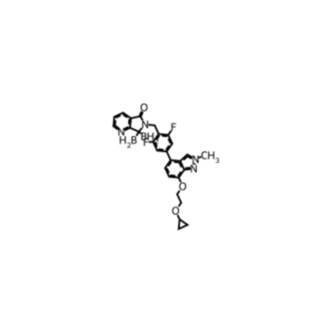 BC1(B)c2ncccc2C(=O)N1Cc1c(F)cc(-c2ccc(OCCOC3CC3)c3nn(C)cc23)cc1F